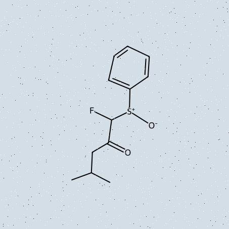 CC(C)CC(=O)C(F)[S+]([O-])c1ccccc1